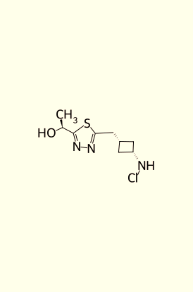 C[C@H](O)c1nnc(C[C@H]2C[C@@H](NCl)C2)s1